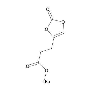 CC(C)(C)OC(=O)CCc1coc(=O)o1